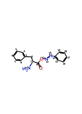 N[C@@H](Cc1ccccc1)C(=O)ON=Nc1ccccc1